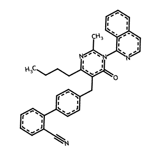 CCCCc1nc(C)n(-c2nccc3ccccc23)c(=O)c1Cc1ccc(-c2ccccc2C#N)cc1